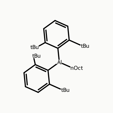 CCCCCCC[CH2][Al]([c]1c(C(C)(C)C)cccc1C(C)(C)C)[c]1c(C(C)(C)C)cccc1C(C)(C)C